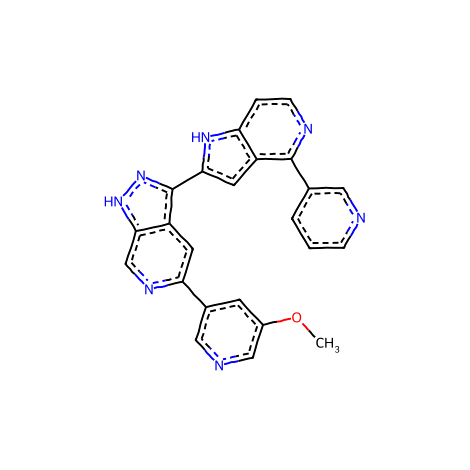 COc1cncc(-c2cc3c(-c4cc5c(-c6cccnc6)nccc5[nH]4)n[nH]c3cn2)c1